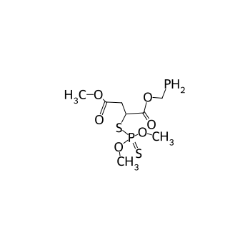 COC(=O)CC(SP(=S)(OC)OC)C(=O)OCP